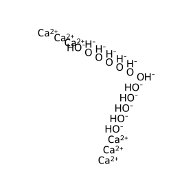 [Ca+2].[Ca+2].[Ca+2].[Ca+2].[Ca+2].[Ca+2].[OH-].[OH-].[OH-].[OH-].[OH-].[OH-].[OH-].[OH-].[OH-].[OH-].[OH-].[OH-]